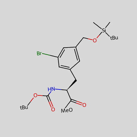 COC(=O)[C@H](Cc1cc(Br)cc(CO[Si](C)(C)C(C)(C)C)c1)NC(=O)OC(C)(C)C